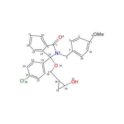 COc1ccc(CN2C(=O)c3ccccc3C2(OCC2CC2O)c2ccc(Cl)cc2)cc1